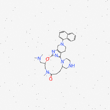 CN(C)CC1CN(C)C(=O)CCC2CNCCN2c2nc(nc3c2CCN(c2cccc4ccccc24)C3)O1